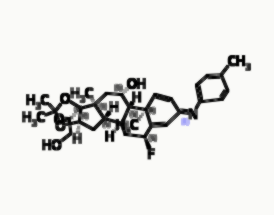 Cc1ccc(/N=C2\C=C[C@@]3(C)C(=C2)[C@@H](F)C[C@@H]2[C@@H]3[C@@H](O)C[C@@]3(C)[C@H]2C[C@H]2OC(C)(C)O[C@]23C(=O)CO)cc1